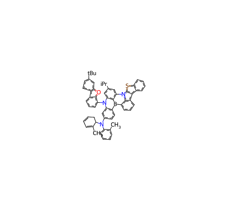 CC1=CC=CCC1N(c1ccc2c(c1)N(c1cccc3c1oc1cc(C(C)(C)C)ccc13)c1cc(C(C)C)cc3c1B2c1cccc2c4c5ccccc5sc4n-3c12)c1ccccc1C